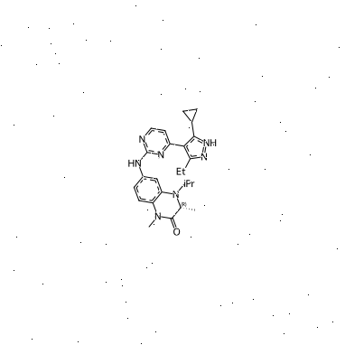 CCc1n[nH]c(C2CC2)c1-c1ccnc(Nc2ccc3c(c2)N(C(C)C)[C@H](C)C(=O)N3C)n1